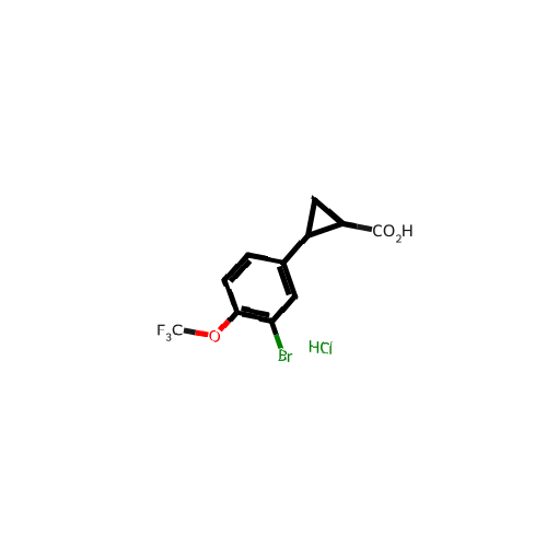 Cl.O=C(O)C1CC1c1ccc(OC(F)(F)F)c(Br)c1